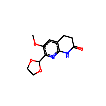 COc1cc2c(nc1C1OCCO1)NC(=O)CC2